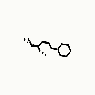 CC(/C=C\CN1CCCCC1)=C/N